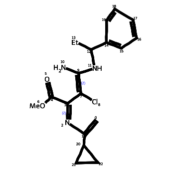 C=C(/N=C(C(=O)OC)\C(Cl)=C(/N)NC(CC)c1ccccc1)C1CC1